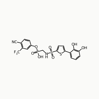 N#Cc1ccc(OP(=O)(O)CNS(=O)(=O)c2ccc(-c3cccc(O)c3O)s2)cc1C(F)(F)F